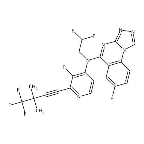 CC(C)(C#Cc1nccc(N(CC(F)F)c2nc3nncn3c3ccc(F)cc23)c1F)C(F)(F)F